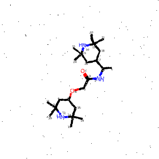 CC(NC(=O)COC1CC(C)(C)NC(C)(C)C1)C1CC(C)(C)NC(C)(C)C1